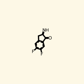 N=C1Cc2cc(F)c(F)cc2C1=O